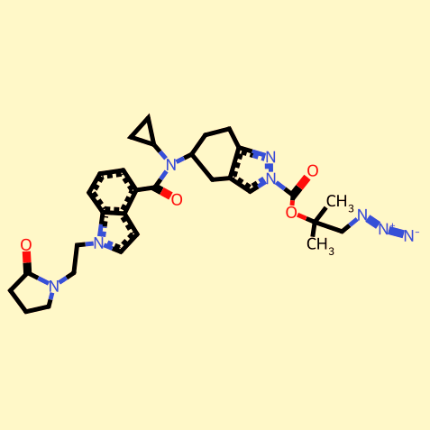 CC(C)(CN=[N+]=[N-])OC(=O)n1cc2c(n1)CCC(N(C(=O)c1cccc3c1ccn3CCN1CCCC1=O)C1CC1)C2